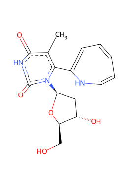 Cc1c(C2=CC=CC=CN2)n([C@H]2C[C@H](O)[C@@H](CO)O2)c(=O)[nH]c1=O